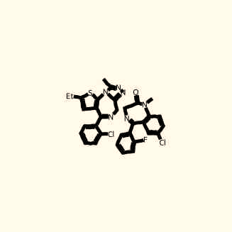 CCc1cc2c(s1)-n1c(C)nnc1CN=C2c1ccccc1Cl.CN1C(=O)CN=C(c2ccccc2F)c2cc(Cl)ccc21